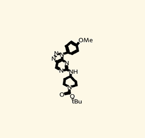 COc1ccc(-n2nnc3cnc(NC4CCN(C(=O)OC(C)(C)C)CC4)nc32)cc1